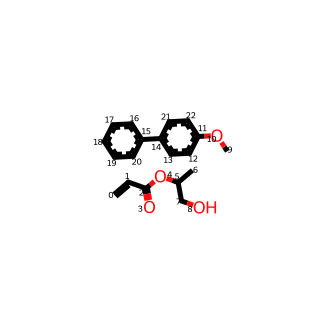 C=CC(=O)OC(C)CO.COc1ccc(-c2ccccc2)cc1